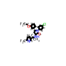 CC(C)(N[C@@H]1C[C@H](c2cccc(OCC(F)(F)F)c2)N(c2ccc(Cl)cc2)C1=O)c1ccc(C(F)(F)F)nc1